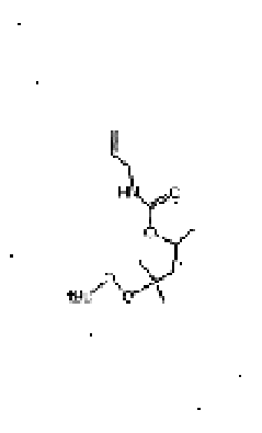 C=CCNC(=O)OC(C)CC(C)(C)OOC(C)(C)C